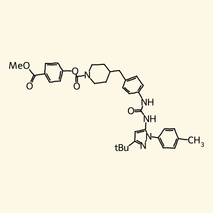 COC(=O)c1ccc(OC(=O)N2CCC(Cc3ccc(NC(=O)Nc4cc(C(C)(C)C)nn4-c4ccc(C)cc4)cc3)CC2)cc1